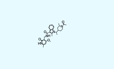 COc1cc(C)[nH]c(=O)c1CNC(=O)c1c(C)n(C(C)C2CCN(C(C)=O)C(C)C2)c2ccccc12